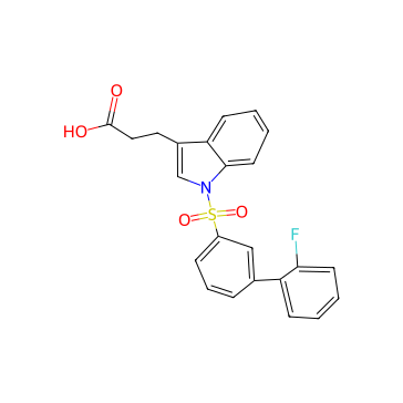 O=C(O)CCc1cn(S(=O)(=O)c2cccc(-c3ccccc3F)c2)c2ccccc12